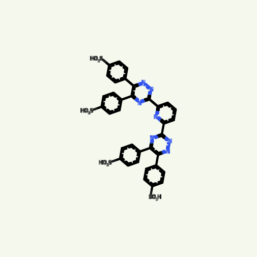 O=S(=O)(O)c1ccc(-c2nnc(-c3cccc(-c4nnc(-c5ccc(S(=O)(=O)O)cc5)c(-c5ccc(S(=O)(=O)O)cc5)n4)n3)nc2-c2ccc(S(=O)(=O)O)cc2)cc1